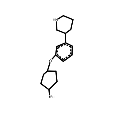 CC(C)(C)C1CCC(Oc2cccc(C3CCCNC3)c2)CC1